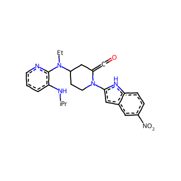 CCN(c1ncccc1NC(C)C)C1CCN(c2cc3cc([N+](=O)[O-])ccc3[nH]2)C(=C=O)C1